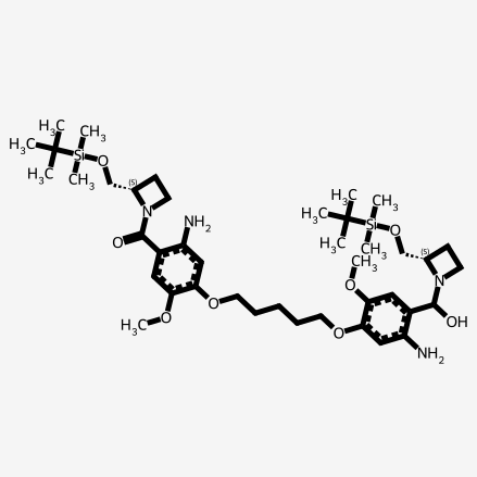 COc1cc(C(=O)N2CC[C@H]2CO[Si](C)(C)C(C)(C)C)c(N)cc1OCCCCCOc1cc(N)c(C(O)N2CC[C@H]2CO[Si](C)(C)C(C)(C)C)cc1OC